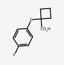 O=C(O)C1(Oc2ccc(F)cc2)CCC1